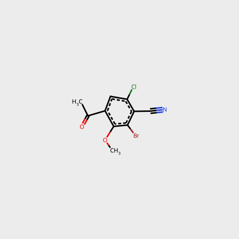 COc1c(C(C)=O)cc(Cl)c(C#N)c1Br